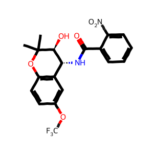 CC1(C)Oc2ccc(OC(F)(F)F)cc2[C@@H](NC(=O)c2ccccc2[N+](=O)[O-])[C@@H]1O